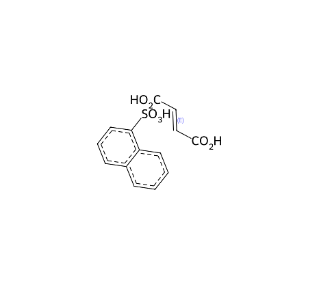 O=C(O)/C=C/C(=O)O.O=S(=O)(O)c1cccc2ccccc12